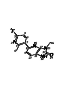 Cc1nc(F)ccc1-c1ccc2[nH]c(=O)n(C)c2n1